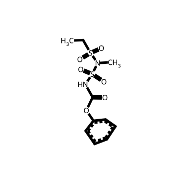 CCS(=O)(=O)N(C)S(=O)(=O)NC(=O)Oc1ccccc1